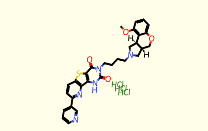 COc1cccc2c1[C@@H]1CN(CCCCn3c(=O)[nH]c4c(sc5ccc(-c6cccnc6)nc54)c3=O)C[C@H]1CO2.Cl.Cl.Cl